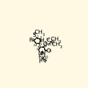 CSc1ccc(-c2cnn(CC(F)(F)F)c(=O)c2OCC(C)(C)C)cc1F